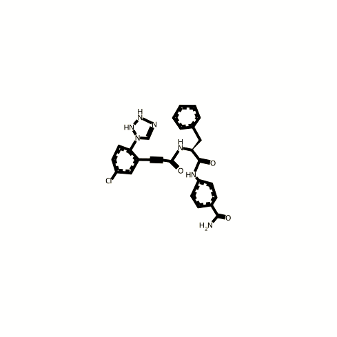 NC(=O)c1ccc(NC(=O)[C@H](Cc2ccccc2)NC(=O)C#Cc2cc(Cl)ccc2N2C=NNN2)cc1